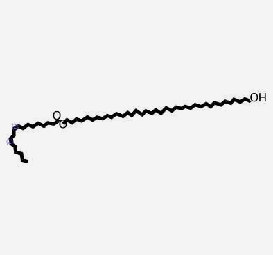 CCCCC/C=C\C/C=C\CCCCCCCC(=O)OCCCCCCCCCCCCCCCCCCCCCCCCCCCCCCCCCCCCCCO